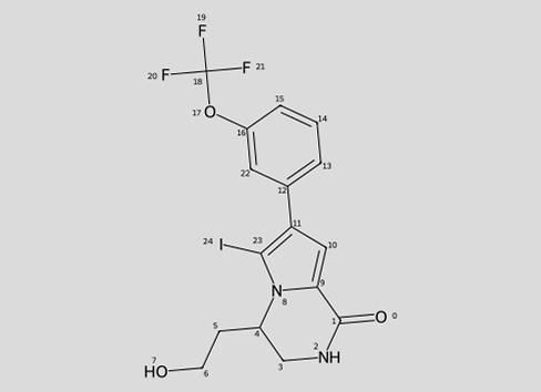 O=C1NCC(CCO)n2c1cc(-c1cccc(OC(F)(F)F)c1)c2I